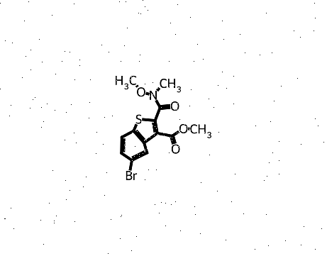 COC(=O)c1c(C(=O)N(C)OC)sc2ccc(Br)cc12